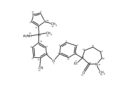 CCC1(c2cccc(Oc3cc(C(C)(NC(C)=O)c4cncn4C)ccc3C#N)c2)CCCCN(C)C1=O